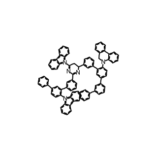 c1ccc(-c2cccc(-c3ccc(N4Cc5ccccc5-c5ccccc54)c(-c4cccc(C5CC(n6c7ccccc7c7ccccc76)=NC(c6cccc(-c7cc(-c8ccccc8)ccc7-n7c8ccccc8c8ccccc87)c6)=N5)c4)c3)c2)cc1